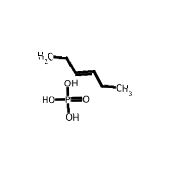 CCC=CCC.O=P(O)(O)O